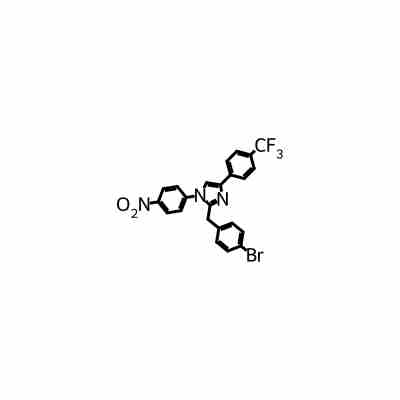 O=[N+]([O-])c1ccc(-n2cc(-c3ccc(C(F)(F)F)cc3)nc2Cc2ccc(Br)cc2)cc1